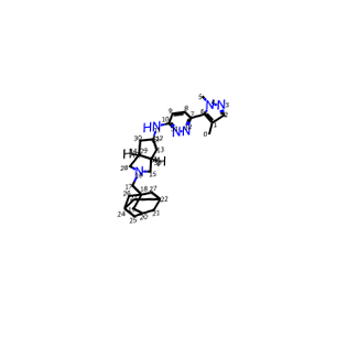 Cc1cnn(C)c1-c1ccc(N[C@H]2C[C@@H]3CN(CC45CC6CC(CC(C6)C4)C5)C[C@@H]3C2)nn1